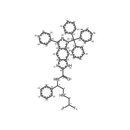 O=C(NC(CNCC(F)F)c1ccccc1)c1nc2cc3c(-c4ccncc4)nn(C(c4ccccc4)(c4ccccc4)c4ccccc4)c3cc2[nH]1